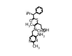 CC(=C(CCO)SC(=O)C(c1ccccc1)C(C)C)N(C=O)Cc1cnc(C)nc1N